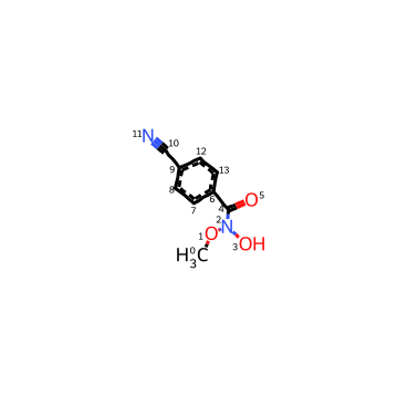 CON(O)C(=O)c1ccc(C#N)cc1